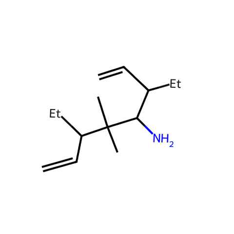 C=CC(CC)C(N)C(C)(C)C(C=C)CC